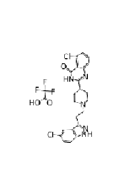 O=C(O)C(F)(F)F.O=c1[nH]c(C2CCN(CCc3n[nH]c4ccc(Cl)cc34)CC2)nc2cccc(Cl)c12